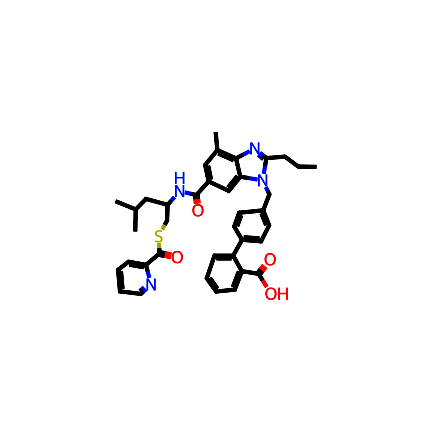 CCCc1nc2c(C)cc(C(=O)NC(CSC(=O)c3ccccn3)CC(C)C)cc2n1Cc1ccc(-c2ccccc2C(=O)O)cc1